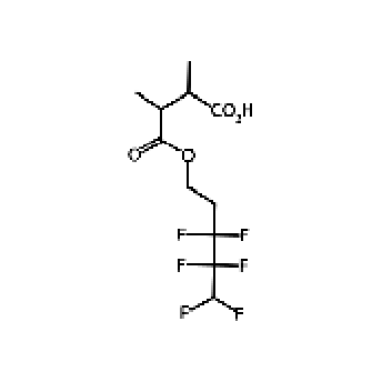 CC(C(=O)O)C(C)C(=O)OCCC(F)(F)C(F)(F)C(F)F